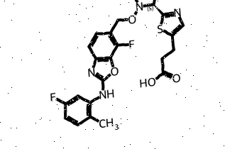 Cc1ccc(F)cc1Nc1nc2ccc(CON3CCC[C@H]3c3ncc(CCC(=O)O)s3)c(F)c2o1